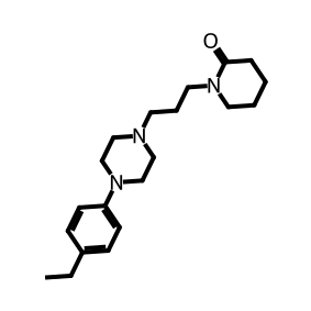 CCc1ccc(N2CCN(CCCN3CCCCC3=O)CC2)cc1